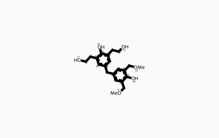 COCc1cc(Cc2cc(CCO)c(O)c(CCO)c2)cc(COC)c1O